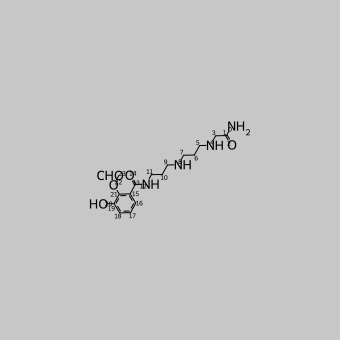 NC(=O)CNCCCNCCCNC(=O)c1cccc(O)c1OC=O